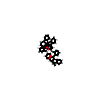 CC1(C)c2ccccc2-c2c(-c3ccccc3N(c3ccc4c(c3)-c3ccccc3C4(c3ccccc3)c3ccccc3)c3ccccc3-n3c4ccccc4c4ccccc43)cccc21